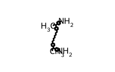 CCC(c1ccc(N)cc1)c1ccc(CCCCCCCCc2ccc(C(CC)c3ccc(N)cc3)cc2)cc1